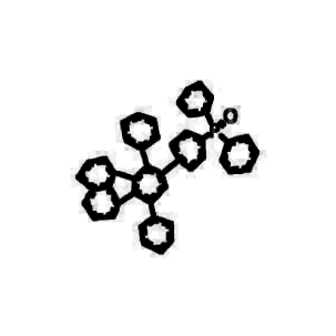 O=P(c1ccccc1)(c1ccccc1)c1ccc(-c2cc(-c3ccccc3)c3c(c2-c2ccccc2)-c2cccc4cccc-3c24)cc1